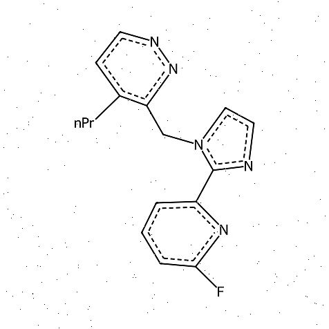 CCCc1ccnnc1Cn1ccnc1-c1cccc(F)n1